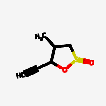 C#CC1OS(=O)CC1C